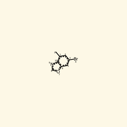 Cc1cc(Br)cc2ocnc12